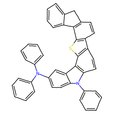 c1ccc(N(c2ccccc2)c2ccc3c(c2)c2c4sc5c6c(ccc5c4ccc2n3-c2ccccc2)Cc2ccccc2-6)cc1